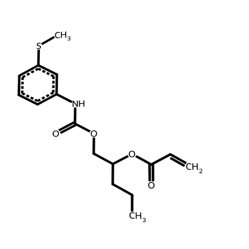 C=CC(=O)OC(CCC)COC(=O)Nc1cccc(SC)c1